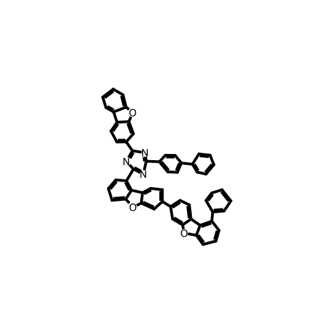 c1ccc(-c2ccc(-c3nc(-c4ccc5c(c4)oc4ccccc45)nc(-c4cccc5oc6cc(-c7ccc8c(c7)oc7cccc(-c9ccccc9)c78)ccc6c45)n3)cc2)cc1